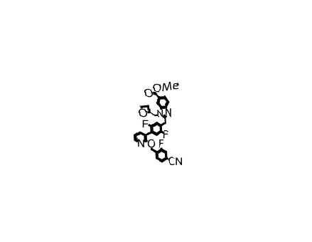 COC(=O)c1ccc2nc(Cc3cc(F)c(-c4cccnc4OCc4ccc(C#N)cc4F)cc3F)n(C[C@@H]3CCO3)c2c1